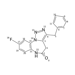 O=C1Cc2c(Cc3ccccc3)nnn2-c2cc(F)ccc2N1